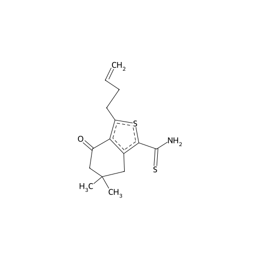 C=CCCc1sc(C(N)=S)c2c1C(=O)CC(C)(C)C2